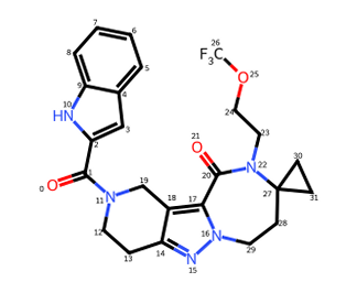 O=C(c1cc2ccccc2[nH]1)N1CCc2nn3c(c2C1)C(=O)N(CCOC(F)(F)F)C1(CC3)CC1